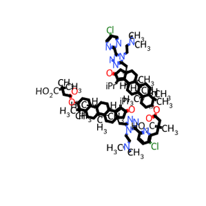 CC(C)C1=C2[C@H]3CC[C@@H]4[C@@]5(C)CC[C@H](OC(=O)CC(C)(C)C(=O)O)C(C)(C)[C@@H]5CC[C@@]4(C)[C@]3(C)CC[C@@]2(Cc2nnc(-c3ccc(Cl)c(CC(C)(CC(=O)O[C@H]4CC[C@]5(C)[C@H]6CC[C@@H]7C8=C(C(C)C)C(=O)C[C@]8(Cc8nnc(-c9ncc(Cl)cn9)n8CCN(C)C)CC[C@@]7(C)[C@]6(C)CC[C@H]5C4(C)C)C(=O)O)n3)n2CCN(C)C)CC1=O